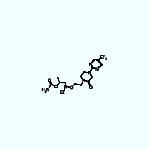 CCN(CC(C)OC(N)=O)OCCN1CCN(c2ncc(C(F)(F)F)cn2)CC1=O